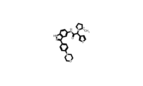 C[C@H]1CCCN1C(C(=O)Nc1ccc2[nH]nc(-c3ccc(N4CCOCC4)cc3)c2c1)c1ccsc1